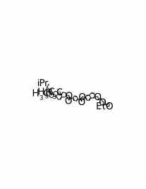 CCC1(COCCOc2ccc3cc(OC(=O)c4ccc(C(=O)OC5CCC6(C)C(=CCC7C6CCC6(C)C(C(C)CCCC(C)C)CCC76)C5)cc4)ccc3c2)COC1